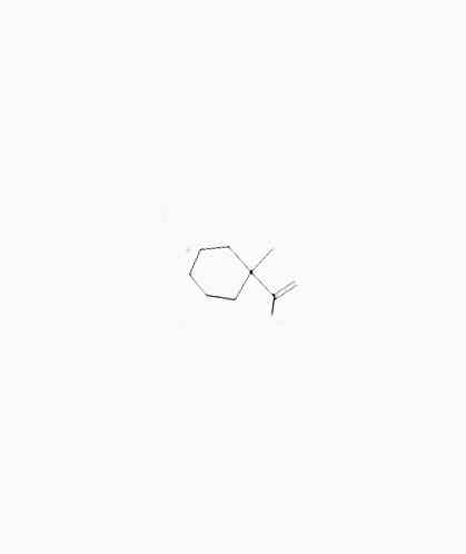 CC1(C(=O)O)C[C@H](O)C[C@H](O)C1